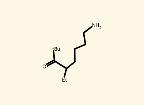 CCC(CCCCN)C(=O)C(C)(C)C